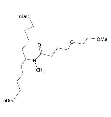 CCCCCCCCCCCCCCC(CCCCCCCCCCCCCC)N(C)C(=O)CCCOCCOC